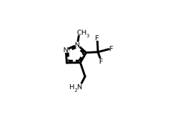 Cn1ncc(CN)c1C(F)(F)F